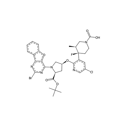 C[C@H]1CN(C(=O)O)CC[C@]1(F)c1cc(Cl)cnc1O[C@H]1C[C@@H](C(=O)OC(C)(C)C)N(c2nc(Br)nc3c2oc2ccccc23)C1